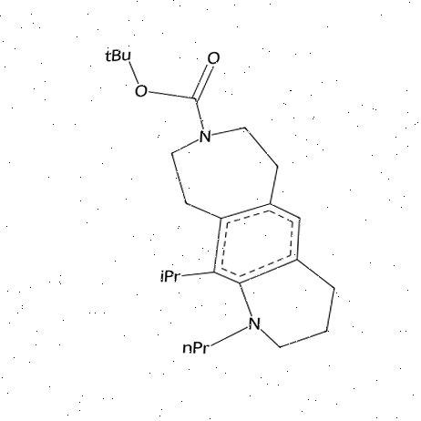 CCCN1CCCc2cc3c(c(C(C)C)c21)CCN(C(=O)OC(C)(C)C)CC3